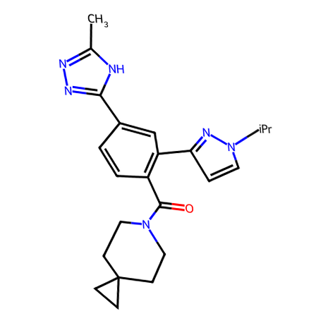 Cc1nnc(-c2ccc(C(=O)N3CCC4(CC3)CC4)c(-c3ccn(C(C)C)n3)c2)[nH]1